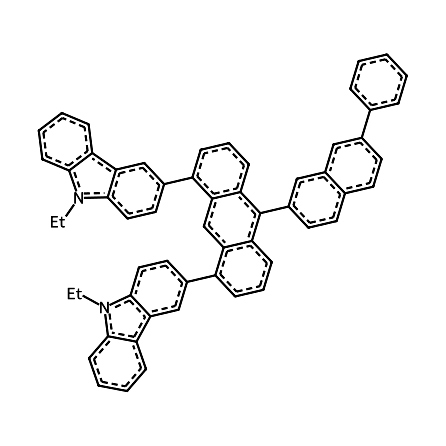 CCn1c2ccccc2c2cc(-c3cccc4c(-c5ccc6ccc(-c7ccccc7)cc6c5)c5cccc(-c6ccc7c(c6)c6ccccc6n7CC)c5cc34)ccc21